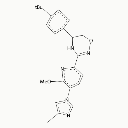 COc1nc(C2=NOCC(c3ccc(C(C)(C)C)cc3)N2)ccc1-n1cnc(C)c1